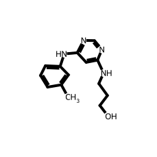 Cc1cccc(Nc2cc(NCCCO)ncn2)c1